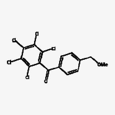 COCc1ccc(C(=O)c2c(Cl)c(Cl)c(Cl)c(Cl)c2Cl)cc1